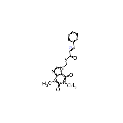 Cn1c(=O)c2c(ncn2CSC(=O)/C=C/c2ccccc2)n(C)c1=O